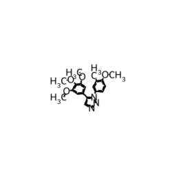 COc1ccc(-n2nncc2-c2cc(OC)c(OC)c(OC)c2)cc1C